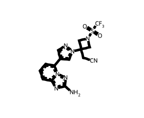 N#CCC1(n2cc(-c3cccc4nc(N)nn34)cn2)CN(S(=O)(=O)C(F)(F)F)C1